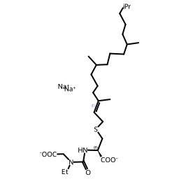 CCN(CC(=O)[O-])C(=O)N[C@@H](CSC/C=C(\C)CCCC(C)CCCC(C)CCCC(C)C)C(=O)[O-].[Na+].[Na+]